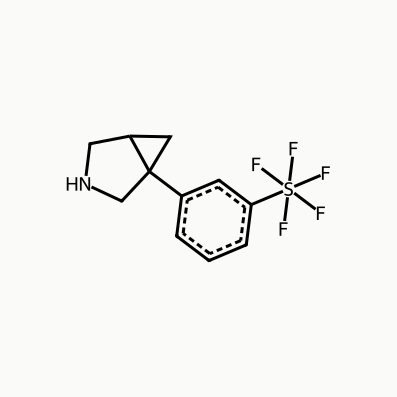 FS(F)(F)(F)(F)c1cccc(C23CNCC2C3)c1